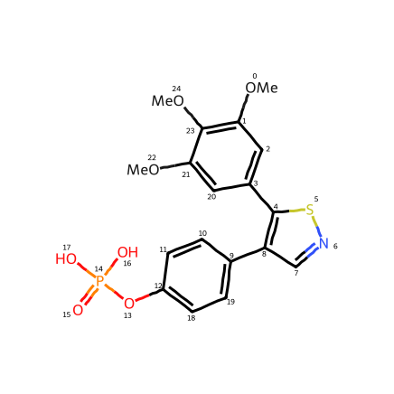 COc1cc(-c2sncc2-c2ccc(OP(=O)(O)O)cc2)cc(OC)c1OC